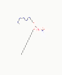 CC/C=C\C/C=C\C/C=C\C/C=C\C/C=C\CCCC(=O)OC[C@H](COP(=O)(O)OC[C@H](N)C(=O)O)OC(=O)CCCCCCCCCCCCCCCCCCCCC